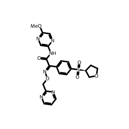 COc1cnc(NC(=O)/C(=N/OCc2ncccn2)c2ccc(S(=O)(=O)[C@H]3CCOC3)cc2)cn1